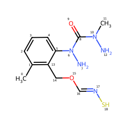 Cc1cccc(N(N)C(=O)N(C)N)c1COC=NS